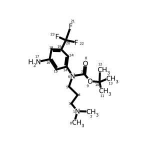 CN(C)CCCN(C(=O)OC(C)(C)C)c1cc(N)cc(C(F)(F)F)c1